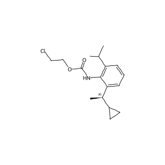 CC(C)c1cccc([C@H](C)C2CC2)c1NC(=O)OCCCl